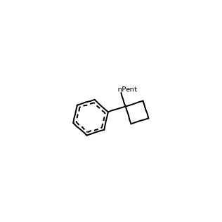 CCCCCC1(c2ccccc2)CCC1